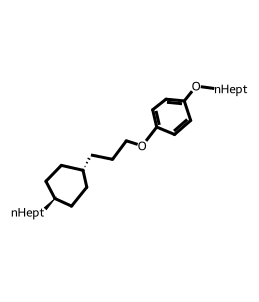 CCCCCCCOc1ccc(OCCC[C@H]2CC[C@H](CCCCCCC)CC2)cc1